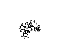 COC(=O)C(C)(N=C(c1ccccc1)c1ccccc1)c1ccc([N+](=O)[O-])cc1Br